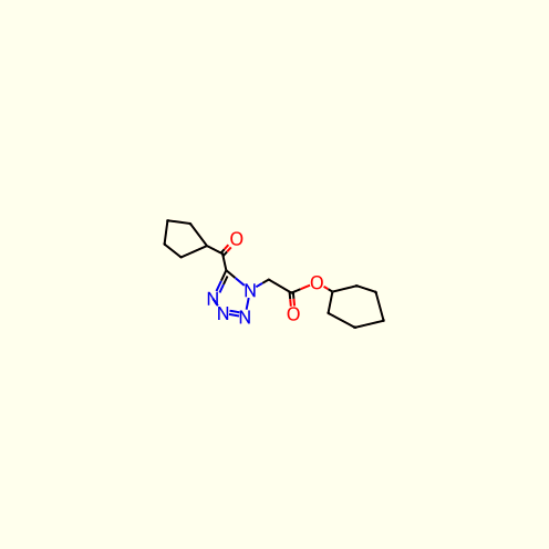 O=C(Cn1nnnc1C(=O)C1CCCC1)OC1CCCCC1